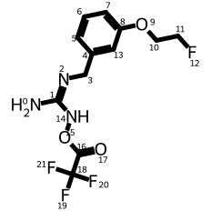 NC(=NCc1cccc(OCCF)c1)NOC(=O)C(F)(F)F